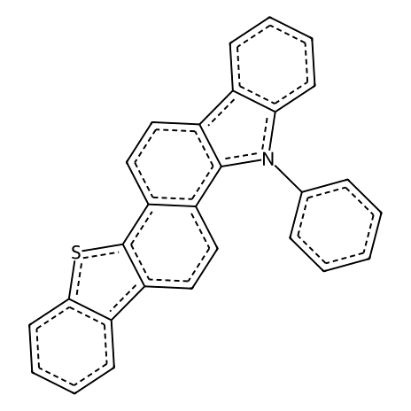 c1ccc(-n2c3ccccc3c3ccc4c(ccc5c6ccccc6sc54)c32)cc1